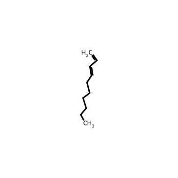 C=CC=CC[CH]CCCC